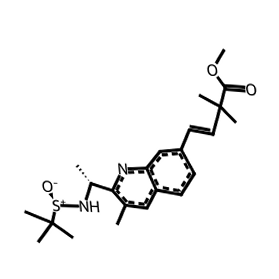 COC(=O)C(C)(C)/C=C/c1ccc2cc(C)c([C@@H](C)N[S@+]([O-])C(C)(C)C)nc2c1